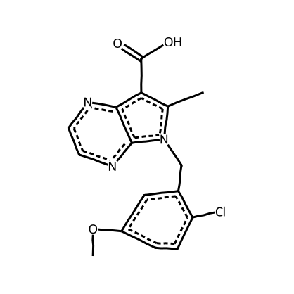 COc1ccc(Cl)c(Cn2c(C)c(C(=O)O)c3nccnc32)c1